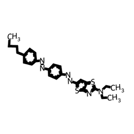 CCCCc1ccc(N=Nc2ccc(N=Nc3cc4sc(N(CC)CC)nc4s3)cc2)cc1